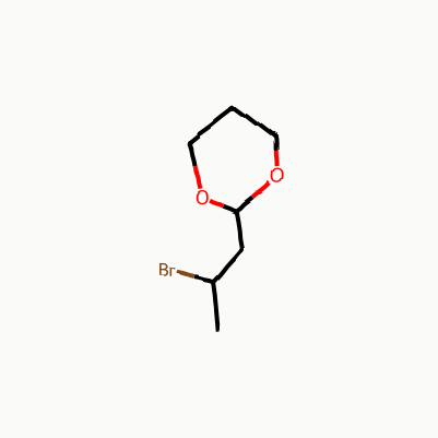 CC(Br)CC1OCCCO1